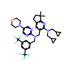 CC1(C)CCc2cc(CN(Cc3cc(C(F)(F)F)cc(C(F)(F)F)c3)c3ncc(N4CCOCC4)cn3)c(N(CC3CC3)CC3CC3)nc21